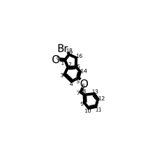 O=C1c2ccc(OCc3ccccc3)cc2CC1Br